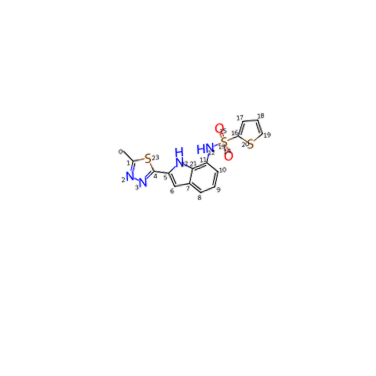 Cc1nnc(-c2cc3cccc(NS(=O)(=O)c4cccs4)c3[nH]2)s1